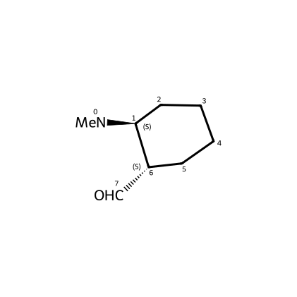 CN[C@H]1CCCC[C@@H]1C=O